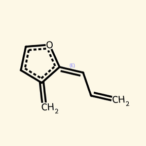 C=C/C=c1/occc1=C